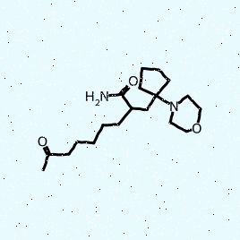 CC(=O)CCCCCC(CC1(N2CCOCC2)CCCC1)C(N)=O